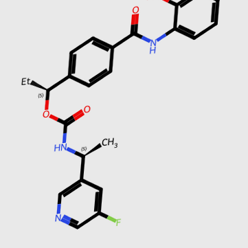 CC[C@H](OC(=O)N[C@@H](C)c1cncc(F)c1)c1ccc(C(=O)Nc2ccccc2O)cc1